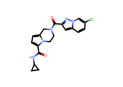 O=C(NC1CC1)c1ccc2n1CCN(C(=O)c1cc3ccc(Cl)cn3n1)C2